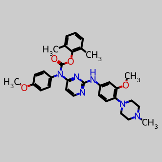 COc1ccc(N(C(=O)Oc2c(C)cccc2C)c2ccnc(Nc3ccc(N4CCN(C)CC4)c(OC)c3)n2)cc1